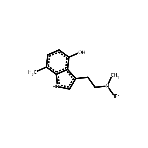 Cc1ccc(O)c2c(CCN(C)C(C)C)c[nH]c12